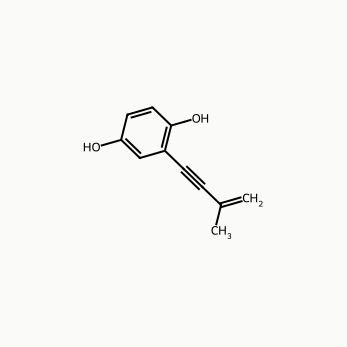 C=C(C)C#Cc1cc(O)ccc1O